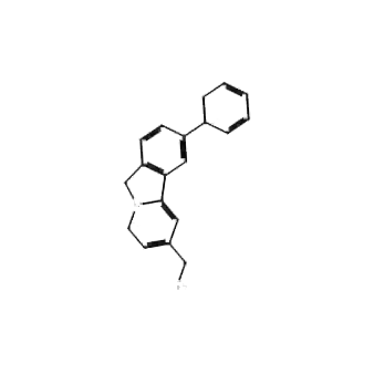 CC(C)CC1=CCN2Cc3ccc(C4C=CC=CC4)cc3C2=C1